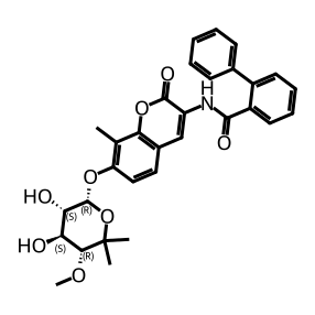 CO[C@@H]1[C@@H](O)[C@H](O)[C@H](Oc2ccc3cc(NC(=O)c4ccccc4-c4ccccc4)c(=O)oc3c2C)OC1(C)C